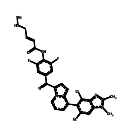 CCc1cc2c(nc(C)n2C)c(Cl)c1-c1cccn2c(C(=O)c3cc(F)c(NC(=O)/C=C/CNC(C)(C)C)c(F)c3)ccc12